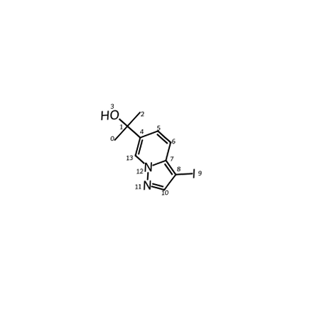 CC(C)(O)c1ccc2c(I)cnn2c1